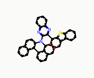 c1ccc2c3c(ccc2c1)N(c1nc2ccccc2nc1-c1cccc2c1sc1ccccc12)c1cccc2cccc-3c12